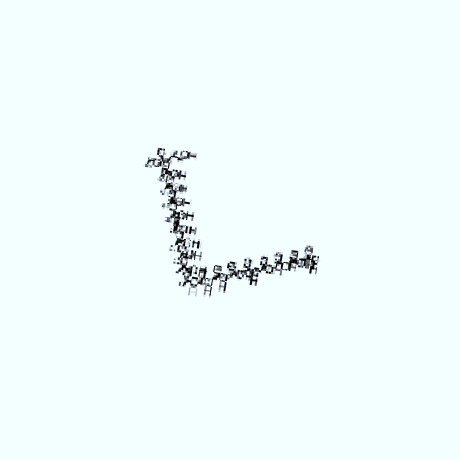 CC(=O)O.CC(=O)O.CC(=O)O.CC(=O)O.CC(=O)O.CC(=O)O.CC(=O)O.CC(=O)O.CC(=O)O.CC(=O)O.CC(=O)O.CC(=O)O.CC(=O)O.CC(=O)O.CC(=O)O.CC(=O)O.CC(=O)O.CCOC(=O)CCCO